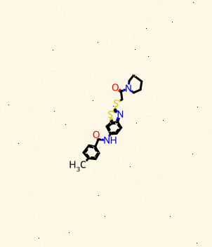 Cc1ccc(C(=O)Nc2ccc3nc(SCC(=O)N4CCCCC4)sc3c2)cc1